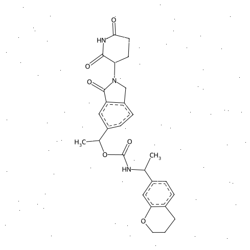 CC(NC(=O)OC(C)c1ccc2c(c1)C(=O)N(C1CCC(=O)NC1=O)C2)c1ccc2c(c1)OCCC2